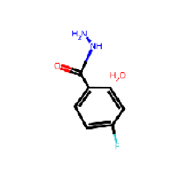 NNC(=O)c1ccc(F)cc1.O